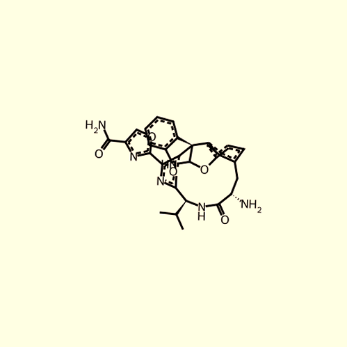 CC(C)[C@@H]1NC(=O)[C@@H](N)Cc2ccc3c(c2)[C@@]2(c4ccccc4NC2O3)c2oc1nc2-c1nc(C(N)=O)co1